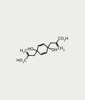 C=C(CC1(O)C=CC(O)(CC(=C)C(=O)O)C=C1)C(=O)O